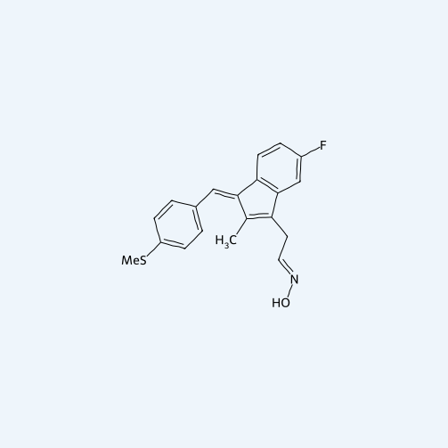 CSc1ccc(C=C2C(C)=C(CC=NO)c3cc(F)ccc32)cc1